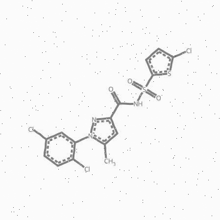 Cc1cc(C(=O)NS(=O)(=O)c2ccc(Cl)s2)nn1-c1cc(Cl)ccc1Cl